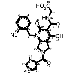 N#Cc1ccccc1Cn1c2c(c(O)c(C(=O)NCC(=O)O)c1=O)CN(C(=O)c1cscn1)C2